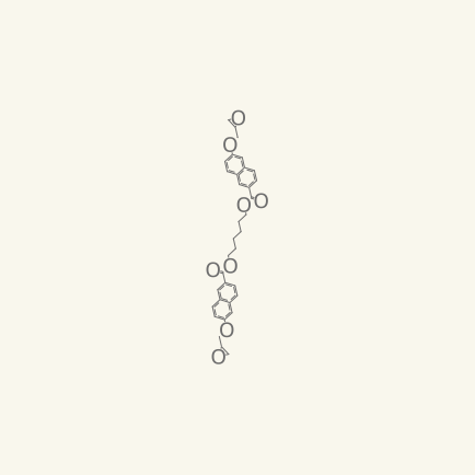 O=C(OCCCCCCOC(=O)c1ccc2cc(OCC3CO3)ccc2c1)c1ccc2cc(OCC3CO3)ccc2c1